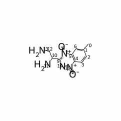 Cc1ccc2c(c1)[n+]([O-])c(C(N)CN)n[n+]2[O-]